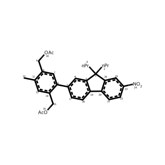 CCCC1(CCC)c2cc(-c3cc(COC(C)=O)c(C)cc3COC(C)=O)ccc2-c2ccc([N+](=O)[O-])cc21